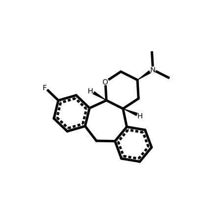 CN(C)[C@@H]1CO[C@H]2c3cc(F)ccc3Cc3ccccc3[C@H]2C1